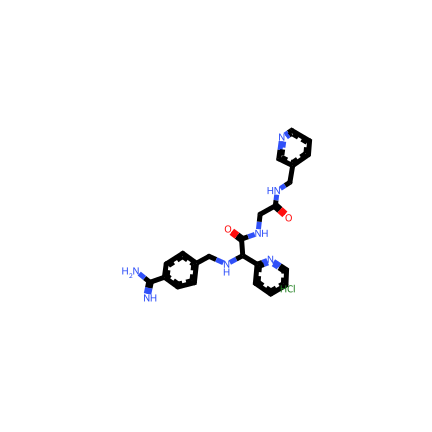 Cl.N=C(N)c1ccc(CNC(C(=O)NCC(=O)NCc2cccnc2)c2ccccn2)cc1